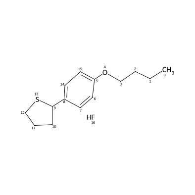 CCCCOc1ccc(C2CCCS2)cc1.F